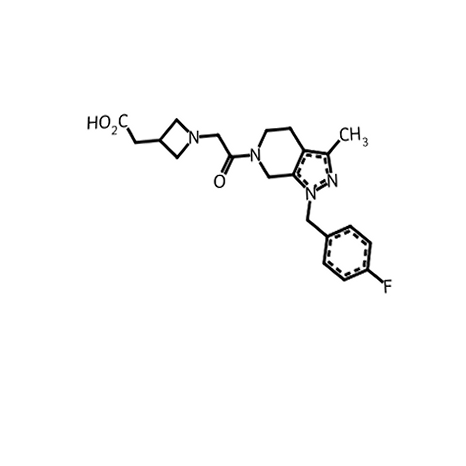 Cc1nn(Cc2ccc(F)cc2)c2c1CCN(C(=O)CN1CC(CC(=O)O)C1)C2